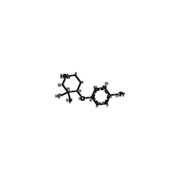 CC(C)c1ccc(OC2CCNCC2(F)F)cn1